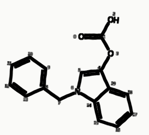 O=C(O)Oc1cn(Cc2ccccc2)c2ccccc12